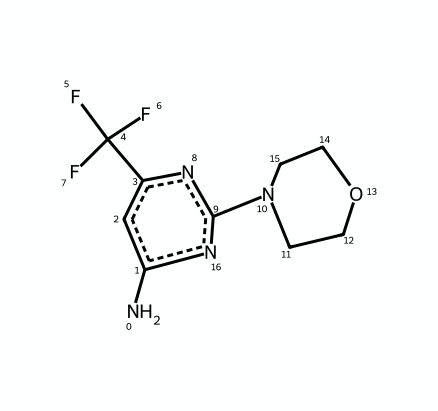 Nc1cc(C(F)(F)F)nc(N2CCOCC2)n1